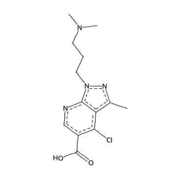 Cc1nn(CCCN(C)C)c2ncc(C(=O)O)c(Cl)c12